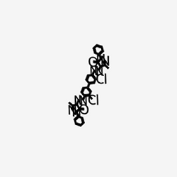 CC1=NN(c2ccccc2)C(=O)C1N=Nc1ccc(-c2ccc(N=NC3C(=O)N(c4ccccc4)N=C3C)c(Cl)c2)cc1Cl